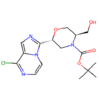 CC(C)(C)OC(=O)N1C[C@H](c2ncc3c(Cl)nccn23)OC[C@H]1CO